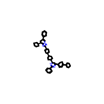 c1ccc(-c2ccc(-c3cc(-c4ccc(-c5ccc(-c6nc7c(-c8ccccc8)cc(-c8ccccc8)cn7n6)cc5)cc4)nc(-c4ccccc4)n3)cc2)cc1